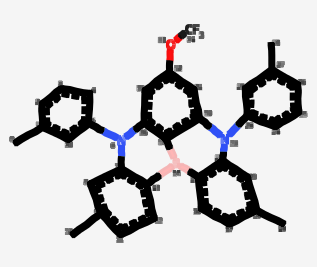 Cc1cccc(N2c3cc(C)ccc3B3c4ccc(C)cc4N(c4cccc(C)c4)c4cc(OC(F)(F)F)cc2c43)c1